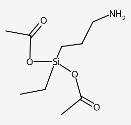 CC[Si](CCCN)(OC(C)=O)OC(C)=O